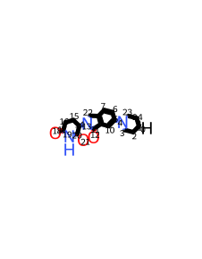 [2H]C1CCN(c2ccc3c(c2)C(=O)N(C2CCC(=O)NC2=O)C3)CC1